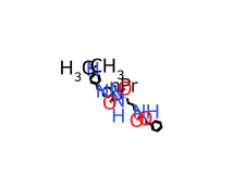 CCCN1C(=O)[C@H](CCCCNC(=O)OCc2ccccc2)NC(=O)C12CCN(Cc1ccc(N(C)C)cc1)CC2